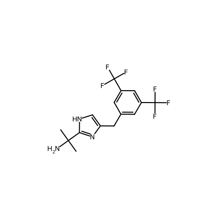 CC(C)(N)c1nc(Cc2cc(C(F)(F)F)cc(C(F)(F)F)c2)c[nH]1